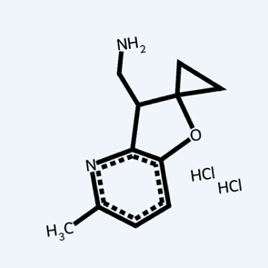 Cc1ccc2c(n1)C(CN)C1(CC1)O2.Cl.Cl